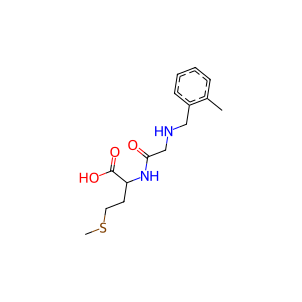 CSCCC(NC(=O)CNCc1ccccc1C)C(=O)O